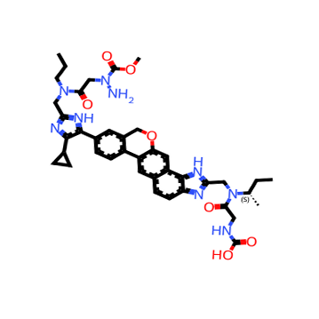 CCCN(Cc1nc(C2CC2)c(-c2ccc3c(c2)COc2cc4c(ccc5nc(CN(C(=O)CNC(=O)O)[C@@H](C)CC)[nH]c54)cc2-3)[nH]1)C(=O)CN(N)C(=O)OC